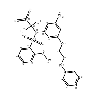 Cc1cc(OCCNc2ccnnc2)cc(N(C(C)(C)P(=O)=O)S(=O)(=O)c2ccccc2OC(C)C)c1